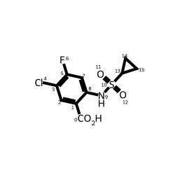 O=C(O)c1cc(Cl)c(F)cc1NS(=O)(=O)C1CC1